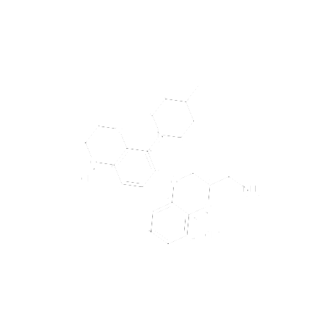 CC1CCN(c2cccc3c2OCCO3)CC1.Cl.Cl.NCC1COc2ccccc2O1